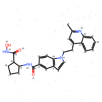 Cc1cc(CCn2ccc3cc(C(=O)NC4CCCC4C(=O)NO)ccc32)c2ccccc2n1